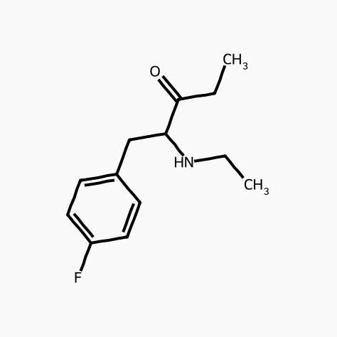 CCNC(Cc1ccc(F)cc1)C(=O)CC